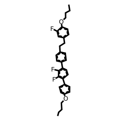 CCCCOc1ccc(-c2ccc(-c3ccc(CCc4ccc(OCCCC)c(F)c4)cc3)c(F)c2F)cc1